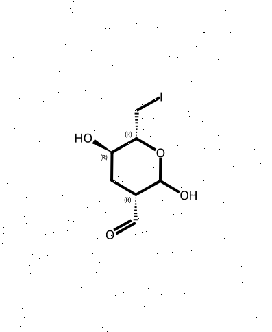 O=C[C@@H]1C[C@@H](O)[C@H](CI)OC1O